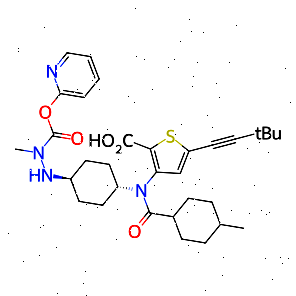 CC1CCC(C(=O)N(c2cc(C#CC(C)(C)C)sc2C(=O)O)[C@H]2CC[C@H](NN(C)C(=O)Oc3ccccn3)CC2)CC1